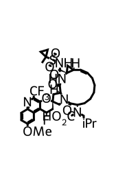 COc1ccc2nc(C(F)(F)F)c3c(c2c1)[C@H](F)C[C@]1(C[C@H]2C(=O)N[C@]4(C(=O)NS(=O)(=O)C5(C)CC5)C[C@H]4/C=C\CCCCC[C@H](N(CC(C)C)C(=O)O)C(=O)N2C1)O3